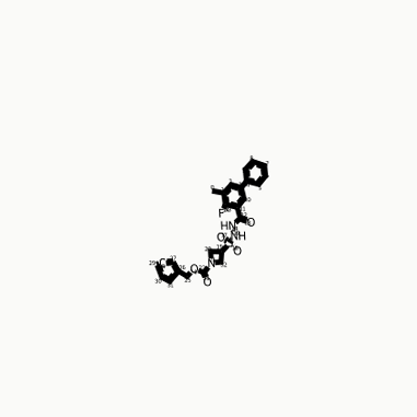 Cc1cc(-c2ccccc2)cc(C(=O)NNS(=O)(=O)C2CN(C(=O)OCc3ccccc3)C2)c1F